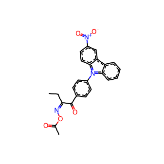 CC/C(=N/OC(C)=O)C(=O)c1ccc(-n2c3ccccc3c3cc([N+](=O)[O-])ccc32)cc1